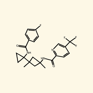 CC1(NC(=O)c2ccc(C(F)(F)F)cn2)CC(C)(C2(NC(=O)c3ccc(F)cc3)CC2)C1